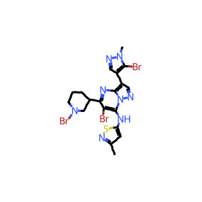 Cc1cc(Nc2c(Br)c(C3CCCN(Br)C3)nc3c(-c4cnn(C)c4Br)cnn23)sn1